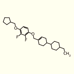 CCC1CCC(C2CC=C(COc3ccc(OCC4CCCC4)c(F)c3F)CC2)CC1